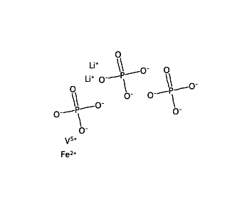 O=P([O-])([O-])[O-].O=P([O-])([O-])[O-].O=P([O-])([O-])[O-].[Fe+2].[Li+].[Li+].[V+5]